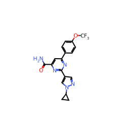 NC(=O)c1cc(-c2ccc(OC(F)(F)F)cc2)nc(-c2cnn(C3CC3)c2)n1